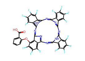 O=C(O)c1ccccc1Oc1c(F)c(F)c(F)c2c1-c1nc-2nc2[nH]c(nc3nc(nc4[nH]c(n1)c1c(F)c(F)c(F)c(F)c41)-c1c(F)c(F)c(F)c(F)c1-3)c1c(F)c(F)c(F)c(F)c21